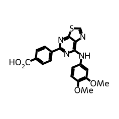 COc1ccc(Nc2nc(-c3ccc(C(=O)O)cc3)nc3scnc23)cc1OC